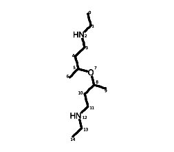 CCNCCC(C)OC(C)CCNCC